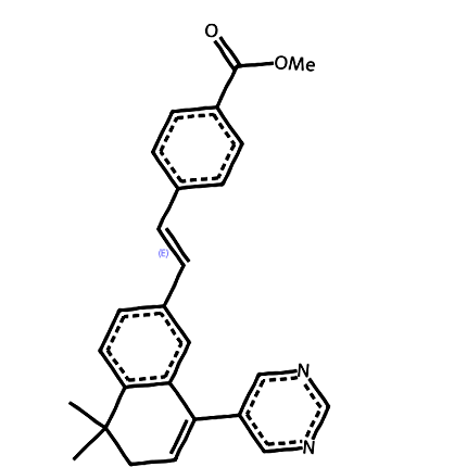 COC(=O)c1ccc(/C=C/c2ccc3c(c2)C(c2cncnc2)=CCC3(C)C)cc1